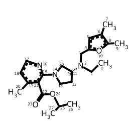 CCN(Cc1cc(C)c(C)o1)[C@@H]1CCN(c2nccc(C)c2C(=O)OC(C)C)C1